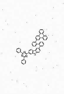 c1ccc(-c2nc(-c3ccccc3)nc(-c3ccc4c(c3)sc3ccc(-c5ccccc5-c5ccccc5-c5ccc6c7ccccc7c7ccccc7c6c5)cc34)n2)cc1